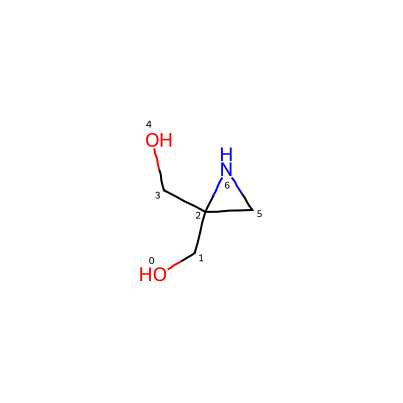 OCC1(CO)CN1